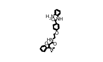 CN(C)c1c(C(=O)NCCOc2ccc(C(=O)Nc3ccccc3N)cc2)oc2ccccc12